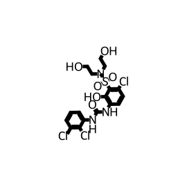 O=C(Nc1ccc(Cl)c(S(=O)(=O)N(CCO)CCO)c1O)Nc1cccc(Cl)c1Cl